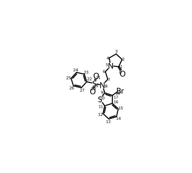 O=C1CCCN1CCN(c1sc2ccccc2c1Br)S(=O)(=O)c1ccccc1